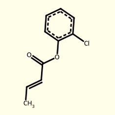 C/C=C/C(=O)Oc1ccccc1Cl